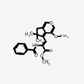 COC(=O)C(=CC1=C2C(=COC=C2OC)CC1(C)C)NC(=O)c1ccccc1